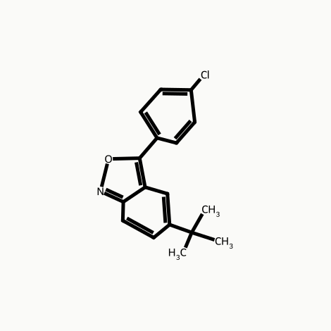 CC(C)(C)c1ccc2noc(-c3ccc(Cl)cc3)c2c1